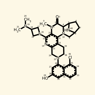 CN1C(=O)C2C3CCC(CN2c2c4c(nc(N5CC(N(C)C)C5)c21)CN(c1cc(O)cc2cccc(Cl)c12)CC4)N3